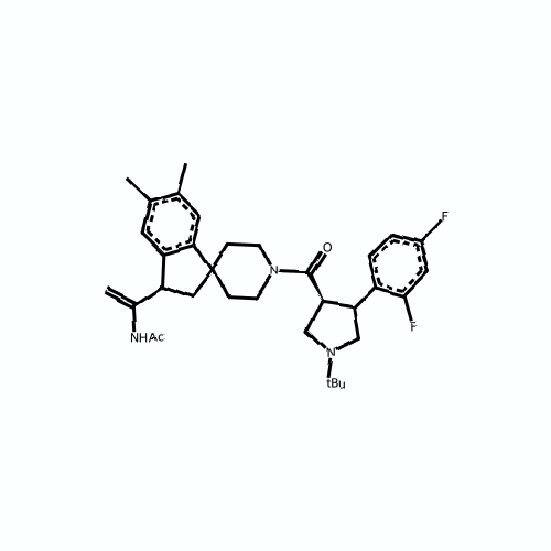 C=C(NC(C)=O)C1CC2(CCN(C(=O)[C@@H]3CN(C(C)(C)C)CC3c3ccc(F)cc3F)CC2)c2cc(C)c(C)cc21